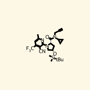 C#CCN(C(=O)[C@@H]1C[C@H](O[Si](C)(C)C(C)(C)C)CN1c1nc(C)cc(C(F)(F)F)c1C#N)C1CC1